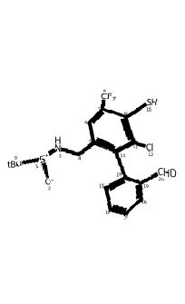 CC(C)(C)[S+]([O-])NCc1cc(C(F)(F)F)c(S)c(Cl)c1-c1ccccc1C=O